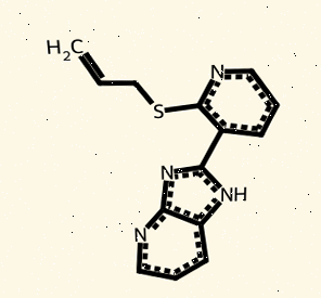 C=CCSc1ncccc1-c1nc2ncccc2[nH]1